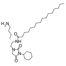 CCCCCCCCCCCCCCCC(=O)N[C@@H](CCCCN)CN1CC(=O)N(C2CCCCC2)C1=O